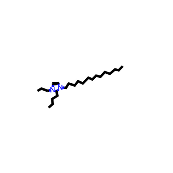 CCCCCCCCCCCCCCN1C=CN(CCC)C1CCCC